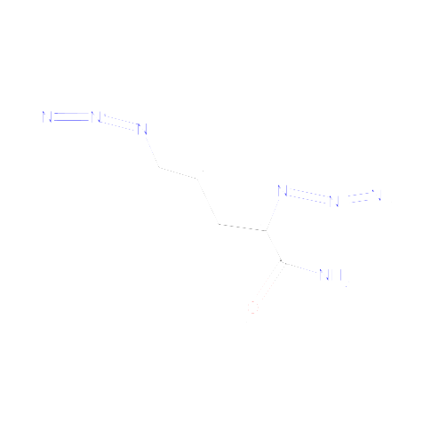 [N-]=[N+]=NCCCC(N=[N+]=[N-])C(N)=O